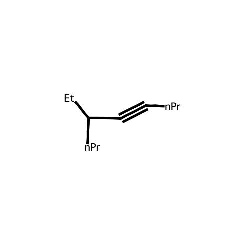 CCCC#CC(CC)CCC